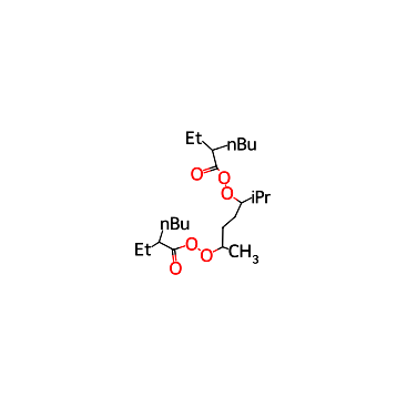 CCCCC(CC)C(=O)OOC(C)CCC(OOC(=O)C(CC)CCCC)C(C)C